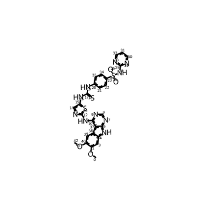 COc1cc2[nH]c3ncnc(Nc4ncc(NC(=S)Nc5ccc(S(=O)(=O)Nc6ncccn6)cc5)s4)c3c2cc1OC